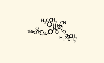 CC1(C)CC=C(c2cc(CN3CCN(C(=O)OC(C)(C)C)CC3)ccc2NC(=O)c2nc(C#N)cn2COCC[Si](C)(C)C)CC1